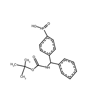 CC(C)(C)OC(=O)NC(c1ccccc1)c1ccc([PH](=O)O)cc1